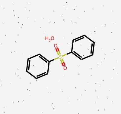 O.O=S(=O)(c1ccccc1)c1ccccc1